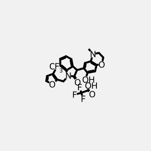 CN1CCOc2cc(O)c(C3C(=O)N(Cc4occc4C(F)(F)F)c4ccccc43)cc21.O=C(O)C(F)(F)F